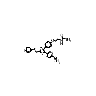 COc1ccc(-c2nc(CSc3ccncc3)oc2-c2ccc(OCCNC(N)=O)cc2)cn1